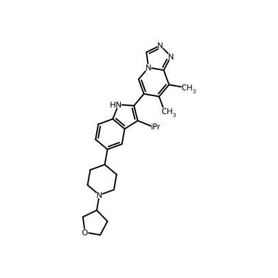 Cc1c(-c2[nH]c3ccc(C4CCN(C5CCOC5)CC4)cc3c2C(C)C)cn2cnnc2c1C